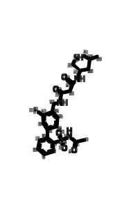 CC(=O)NS(=O)(=O)c1ccccc1-c1ccc(CNC(=O)CC(=O)N[C@@H](CS)CC(C)C)c(F)c1